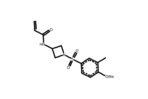 C=CC(=O)NC1CN(S(=O)(=O)c2ccc(OC)c(C)c2)C1